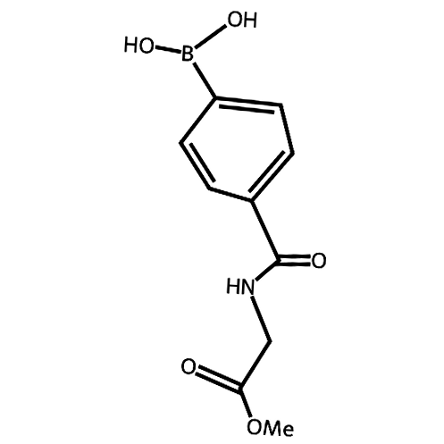 COC(=O)CNC(=O)c1ccc(B(O)O)cc1